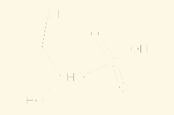 O=S(=O)(O)O.OCCS